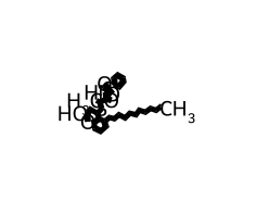 CCCCCCCCCCCCc1ccccc1C(CC(=O)O)SC(C)C(=O)NS(=O)(=O)c1ccccc1